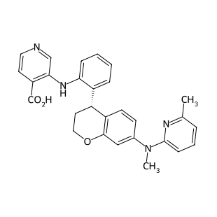 Cc1cccc(N(C)c2ccc3c(c2)OCC[C@@H]3c2ccccc2Nc2cnccc2C(=O)O)n1